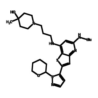 CC1(O)CCN(CCCNc2cc(NC(C)(C)C)nc3cc(-c4ccnn4C4CCCCO4)sc23)CC1